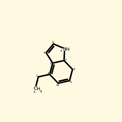 CCC1=C2C=CNC2CC=C1